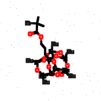 CCC(C)[Si]12O[Si]3(CCCOC(=O)C(C)(C)CC)O[Si]4(C(C)CC)O[Si](C(C)CC)(O1)O[Si]1(C(C)CC)O[Si](C(C)CC)(O2)O[Si](C(C)CC)(O3)[Si](C(C)CC)(O4)O1